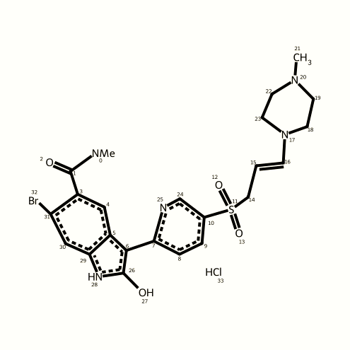 CNC(=O)c1cc2c(-c3ccc(S(=O)(=O)CC=CN4CCN(C)CC4)cn3)c(O)[nH]c2cc1Br.Cl